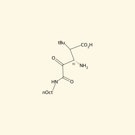 CCCCCCCCNC(=O)C(=O)[C@@H](N)C(C(=O)O)C(C)(C)C